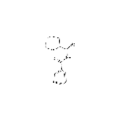 CC(=O)[C@@H](NC(=O)c1ccccc1)C1CCCCC1